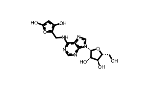 OC[C@H]1O[C@@H](n2cnc3c(NCc4oc(O)cc4O)ncnc32)[C@@H](O)[C@@H]1O